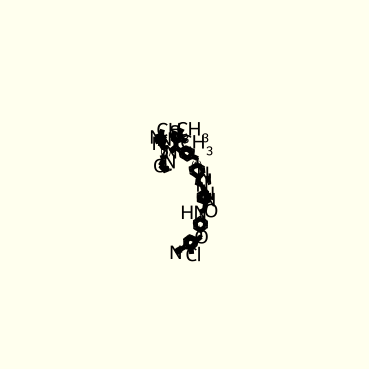 Cc1sc2c(c1C)C(c1ccc(C[C@@H]3CCC4CN(c5ccc(C(=O)N[C@H]6CC[C@H](Oc7ccc(C#N)c(Cl)c7)CC6)nn5)CCN4C3)cc1)=N[C@@H](Cc1ncco1)c1nnc(C)n1-2